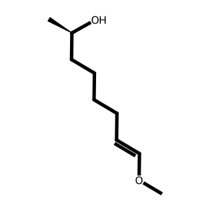 COC=CCCCC[C@@H](C)O